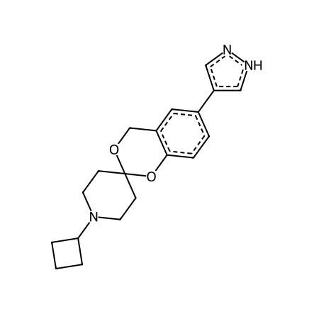 c1cc2c(cc1-c1cn[nH]c1)COC1(CCN(C3CCC3)CC1)O2